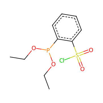 CCOP(OCC)c1ccccc1S(=O)(=O)Cl